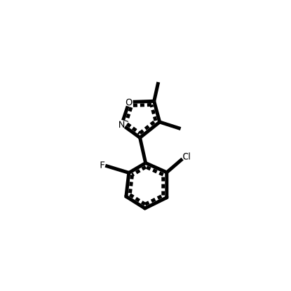 Cc1onc(-c2c(F)cccc2Cl)c1C